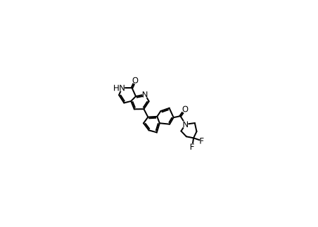 O=C(c1ccc2c(-c3cnc4c(=O)[nH]ccc4c3)cccc2c1)N1CCC(F)(F)CC1